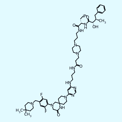 CC(C)C[C@H](NC(=O)[C@@H](O)[C@H](C)Cc1ccccc1)C(=O)NCCCN1CCN(CCC(=O)NCCCNc2cc(N3CCC4(CC3)CN(c3cc(F)c(CN5CCC(C)(C)CC5)cc3F)CC(=O)N4)ncn2)CC1